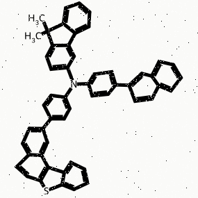 CC1(C)c2ccccc2-c2cc(N(c3ccc(-c4ccc5ccccc5c4)cc3)c3ccc(-c4ccc5ccc6sc7ccccc7c6c5c4)cc3)ccc21